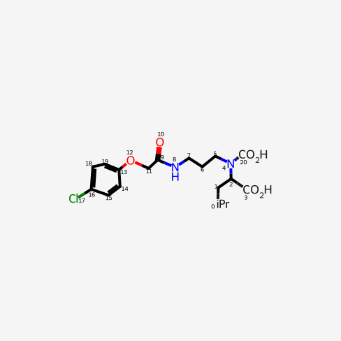 CC(C)CC(C(=O)O)N(CCCNC(=O)COc1ccc(Cl)cc1)C(=O)O